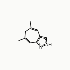 CC1=Cc2c[nH]nc2C=C(C)C1